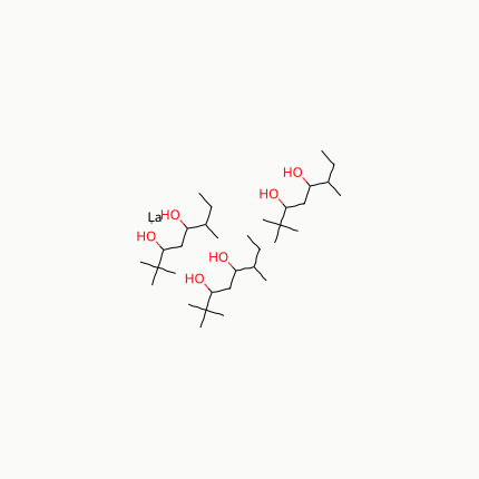 CCC(C)C(O)CC(O)C(C)(C)C.CCC(C)C(O)CC(O)C(C)(C)C.CCC(C)C(O)CC(O)C(C)(C)C.[La]